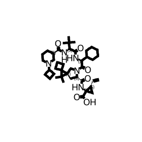 C=C[C@@H]1C[C@]1(NC(=O)[C@@H]1C[C@@]2(CN1C(=O)[C@@H](NC(=O)[C@@H](NC(=O)[C@@H]1CCCN(C3CCC3)C1)C(C)(C)C)C1CCCCC1)C(C)(C)C21CCC1)C(=O)O